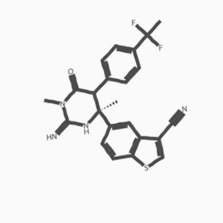 CN1C(=N)N[C@](C)(c2ccc3scc(C#N)c3c2)C(c2ccc(C(C)(F)F)cc2)C1=O